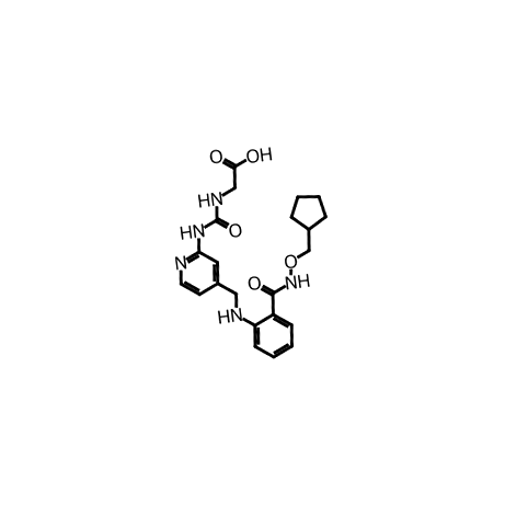 O=C(O)CNC(=O)Nc1cc(CNc2ccccc2C(=O)NOCC2CCCC2)ccn1